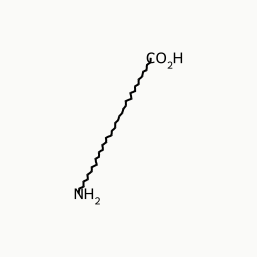 NCCCCCCCCCCCCCCCCCCCCCCCCCCCCCCCCCCCCC(=O)O